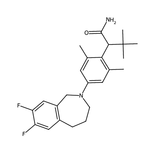 Cc1cc(N2CCCc3cc(F)c(F)cc3C2)cc(C)c1C(C(N)=O)C(C)(C)C